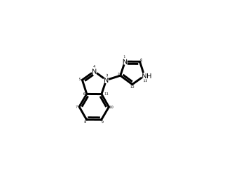 [c]1nc(-n2ncc3ccccc32)c[nH]1